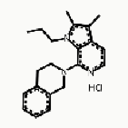 CCCn1c(C)c(C)c2ccnc(N3CCc4ccccc4C3)c21.Cl